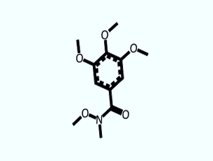 COc1cc(C(=O)N(C)OC)cc(OC)c1OC